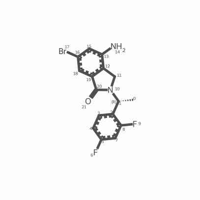 C[C@H](c1ccc(F)cc1F)N1Cc2c(N)cc(Br)cc2C1=O